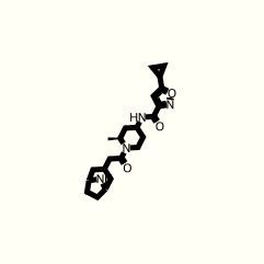 C[C@H]1CC(NC(=O)c2cc(C3CC3)on2)CCN1C(=O)CC1CC2CCC(C1)N2